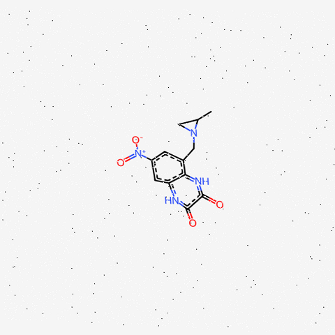 CC1CN1Cc1cc([N+](=O)[O-])cc2[nH]c(=O)c(=O)[nH]c12